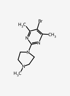 Cc1nc(N2CCN(C)CC2)nc(C)c1Br